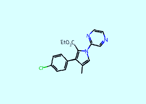 CCOC(=O)c1c(-c2ccc(Cl)cc2)c(C)cn1-c1cnccn1